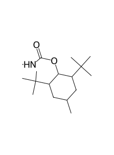 CC1CC(C(C)(C)C)C(OC([NH])=O)C(C(C)(C)C)C1